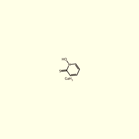 On1ccccc1=S.[GaH3]